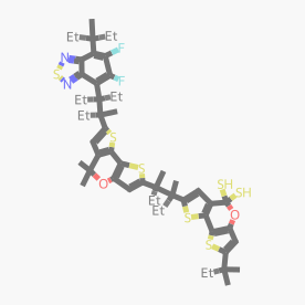 CCC(C)(C)c1cc2c(s1)-c1sc(C(C)(CC)C(C)(CC)c3cc4c(s3)-c3sc(C(C)(CC)C(CC)(CC)c5c(F)c(F)c(C(C)(CC)CC)c6nsnc56)cc3C(C)(C)O4)cc1C(S)(S)O2